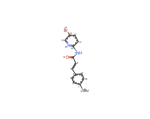 CC(C)(C)c1ccc(/C=C/C(=O)Nc2ccc(Br)cn2)cc1